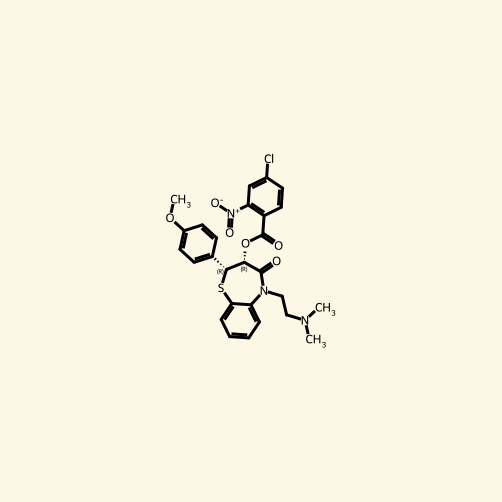 COc1ccc([C@H]2Sc3ccccc3N(CCN(C)C)C(=O)[C@H]2OC(=O)c2ccc(Cl)cc2[N+](=O)[O-])cc1